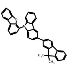 CC1(C)c2ccccc2-c2ccc(-c3ccc4c(c3)c3ccccc3n4-c3cccc4c3oc3ccccc34)cc21